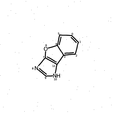 c1ccc2c(c1)oc1nc[nH]c12